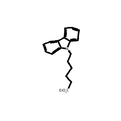 CCOC(=O)CCCCCn1c2ccccc2c2ccccc21